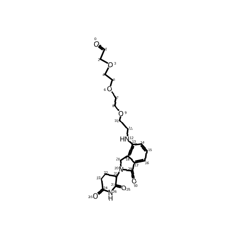 O=CCOCCOCCOCCNc1cccc2c1CN(C1CCC(=O)NC1=O)C2=O